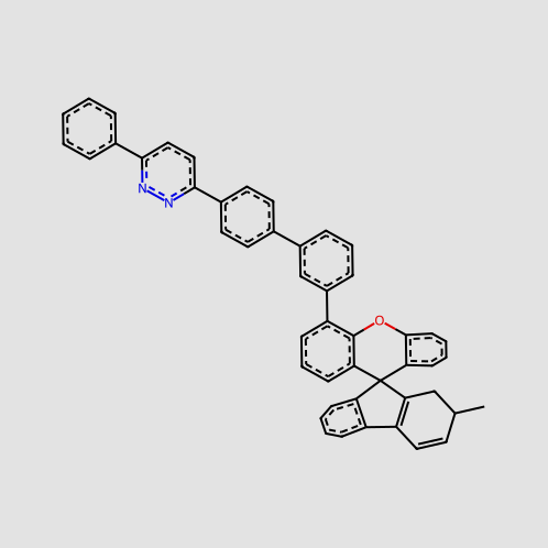 CC1C=CC2=C(C1)C1(c3ccccc3Oc3c(-c4cccc(-c5ccc(-c6ccc(-c7ccccc7)nn6)cc5)c4)cccc31)c1ccccc12